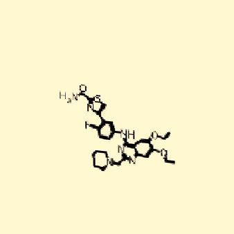 CCOc1cc2nc(CN3CCCCC3)nc(Nc3ccc(F)c(-c4csc(C(N)=O)n4)c3)c2cc1OCC